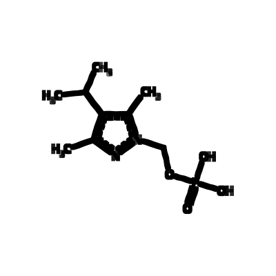 Cc1nn(COP(=O)(O)O)c(C)c1C(C)C